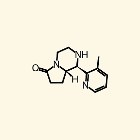 Cc1cccnc1[C@@H]1NCCN2C(=O)CC[C@@H]12